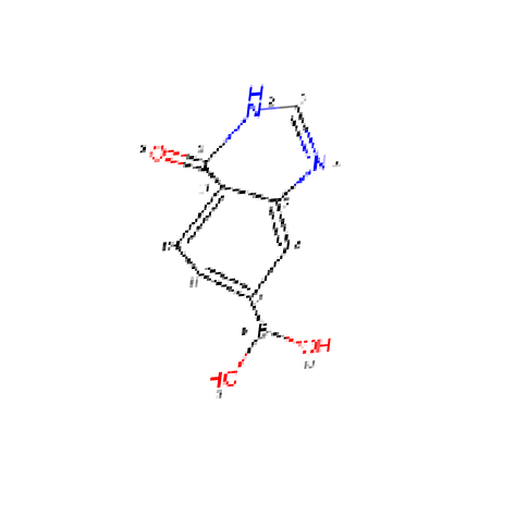 O=c1[nH]cnc2cc(B(O)O)ccc12